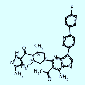 CC(=O)c1c([C@@H]2C[C@@H](C)N(C(=O)c3cc(N)n[nH]3)[C@@H](C)C2)nc2c(-c3ccc(-c4ccc(F)cc4)nc3)cnn2c1N